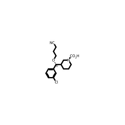 N#CCCCO[C@@H](c1cccc(Cl)c1)C1CCCN(C(=O)O)C1